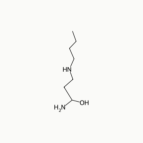 CCCCNCCC(N)O